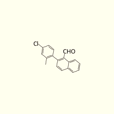 Cc1cc(Cl)ccc1-c1ccc2ccccc2c1C=O